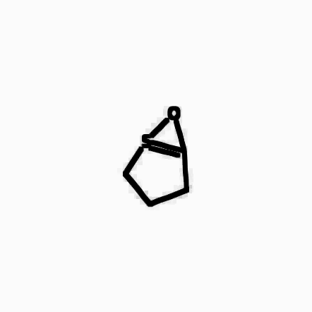 C1CC2=S(C1)O2